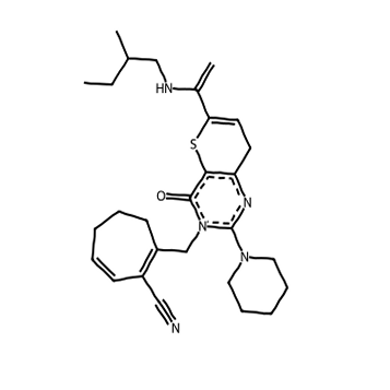 C=C(NCC(C)CC)C1=CCc2nc(N3CCCCC3)n(CC3=C(C#N)C=CCCC3)c(=O)c2S1